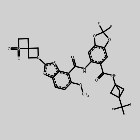 COc1ccc2nc(N3CC4(CCS4(=O)=O)C3)sc2c1C(=O)Nc1cc2c(cc1C(=O)NC13CC(C(F)(F)F)(C1)C3)OC(F)(F)O2